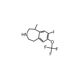 CC1CNCCc2cc(OC(F)(F)F)c(I)cc21